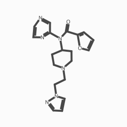 O=C(c1ccco1)N(c1cnccn1)C1CCN(CCn2cccn2)CC1